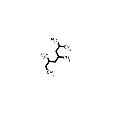 [CH2]CC(C)CC(C)CC(C)C